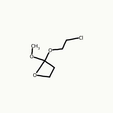 COC1(OCCCl)CCO1